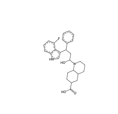 O=C(O)C1CCC2C(CCCN2C(O)CC(c2ccccc2)c2c[nH]c3cccc(F)c23)C1